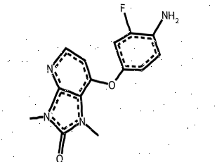 Cn1c(=O)n(C)c2c(Oc3ccc(N)c(F)c3)ccnc21